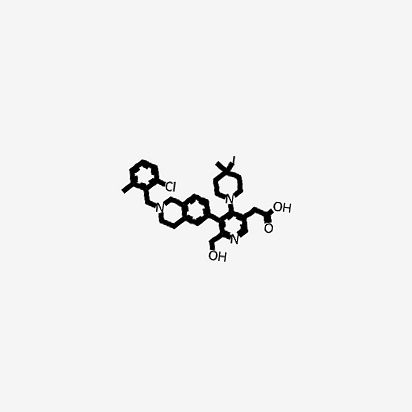 Cc1cccc(Cl)c1CN1CCc2cc(-c3c(CO)ncc(CC(=O)O)c3N3CCC(C)(I)CC3)ccc2C1